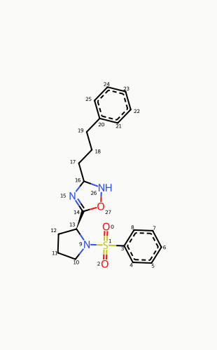 O=S(=O)(c1ccccc1)N1CCC[C@H]1C1=NC(CCCc2ccccc2)NO1